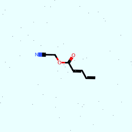 C=CC=CC(=O)OCC#N